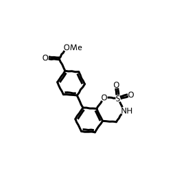 COC(=O)c1ccc(-c2cccc3c2OS(=O)(=O)NC3)cc1